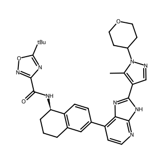 Cc1c(-c2nc3c(-c4ccc5c(c4)CCC[C@H]5NC(=O)c4noc(C(C)(C)C)n4)ccnc3[nH]2)cnn1C1CCOCC1